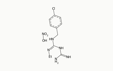 CCN=C(NCc1ccc(Cl)cc1)NC(=N)N.O=[N+]([O-])O